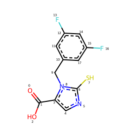 O=C(O)c1cnc(S)n1Cc1cc(F)cc(F)c1